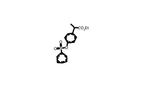 CCOC(=O)C(C)c1ccc(OS(=O)(=O)c2ccccc2)cc1